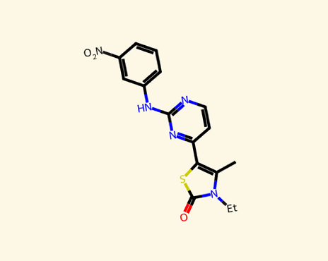 CCn1c(C)c(-c2ccnc(Nc3cccc([N+](=O)[O-])c3)n2)sc1=O